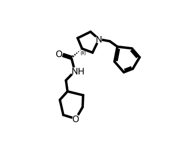 O=C(NCC1CCOCC1)[C@@H]1CCN(Cc2ccccc2)C1